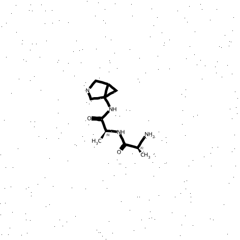 C[C@H](N)C(=O)N[C@@H](C)C(=O)NC12C[N]CC1C2